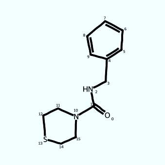 O=C(NCc1ccccc1)N1CCSCC1